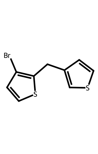 Brc1ccsc1Cc1ccsc1